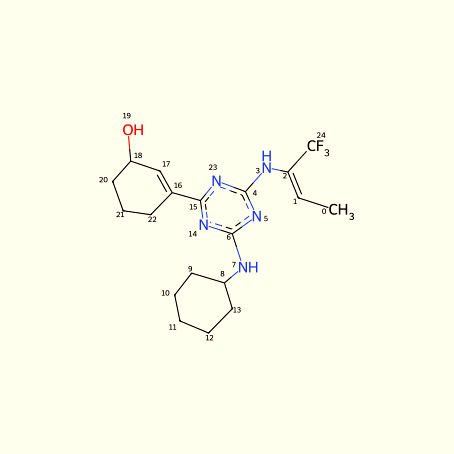 CC=C(Nc1nc(NC2CCCCC2)nc(C2=CC(O)CCC2)n1)C(F)(F)F